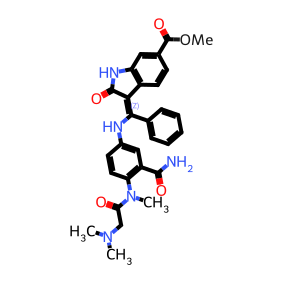 COC(=O)c1ccc2c(c1)NC(=O)/C2=C(\Nc1ccc(N(C)C(=O)CN(C)C)c(C(N)=O)c1)c1ccccc1